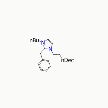 CCCCCCCCCCCCN1C=CN(CCCC)C1Cc1ccccc1